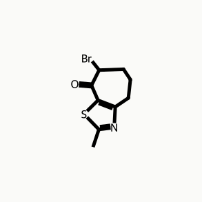 Cc1nc2c(s1)C(=O)C(Br)CCC2